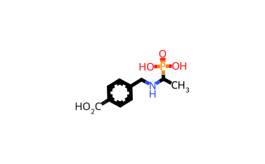 CC(NCc1ccc(C(=O)O)cc1)P(=O)(O)O